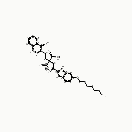 CCCCCCCOc1ccc2cc(C(=O)CC(CCn3nnc4ccccc4c3=O)(C(=O)O)C(=O)O)oc2c1